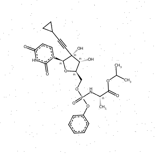 CC(C)OC(=O)[C@H](C)NP(=O)(OC[C@H]1O[C@@H](n2ccc(=O)[nH]c2=O)[C@@](O)(C#CC2CC2)[C@@H]1O)Oc1ccccc1